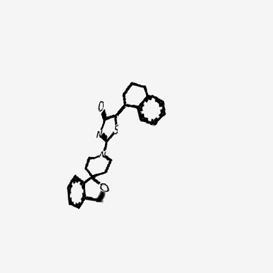 O=C1N=C(N2CCC3(CC2)OCc2ccccc23)S/C1=C1/CCCc2ccccc21